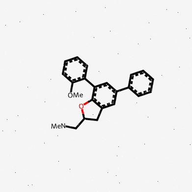 CNCC1Cc2cc(-c3ccccc3)cc(-c3ccccc3OC)c2O1